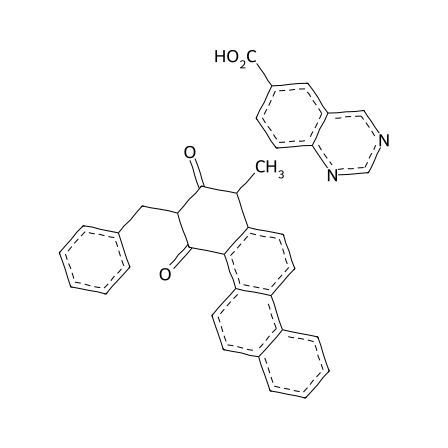 CC1C(=O)C(Cc2ccccc2)C(=O)c2c1ccc1c2ccc2ccccc21.O=C(O)c1ccc2ncncc2c1